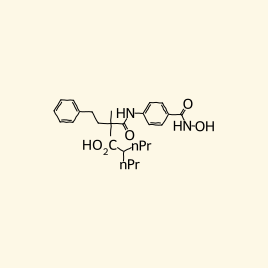 CC(C)(CCc1ccccc1)C(=O)Nc1ccc(C(=O)NO)cc1.CCCC(CCC)C(=O)O